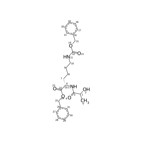 CC(O)C(=O)N[C@@H](CCCCNC(=O)OCc1ccccc1)C(=O)OCc1ccccc1